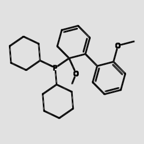 COc1ccccc1C1=CC=CCC1(OC)P(C1CCCCC1)C1CCCCC1